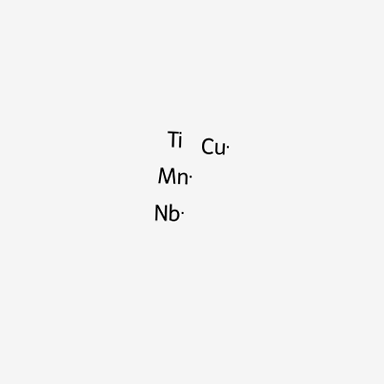 [Cu].[Mn].[Nb].[Ti]